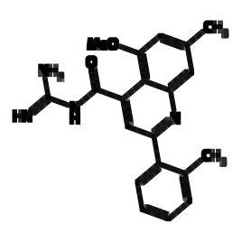 COc1cc(C)cc2nc(-c3ccccc3C)cc(C(=O)NC(=N)N)c12